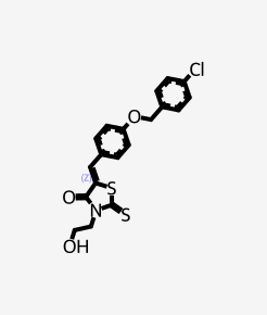 O=C1/C(=C/c2ccc(OCc3ccc(Cl)cc3)cc2)SC(=S)N1CCO